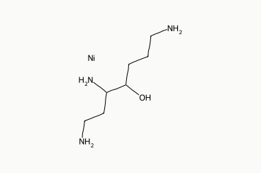 NCCCC(O)C(N)CCN.[Ni]